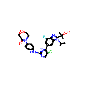 CC(C)n1c(C(C)(C)O)nc2c(F)cc(-c3nc(Nc4ccc(N5CCOCC5=O)cc4)ncc3Cl)cc21